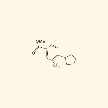 COC(=O)c1ccc(C2CCCC2)c(C(F)(F)F)c1